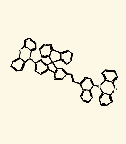 C(=C\c1ccc(N2c3ccccc3Oc3ccccc32)c2ccccc12)/c1ccc2c(c1)C1(c3ccccc3-c3ccccc31)c1cc(N3c4ccccc4Oc4ccccc43)ccc1-2